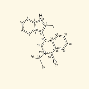 Cc1[nH]c2ccccc2c1-c1cn(C(C)C)c(=O)c2ccccc12